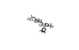 C/C(NNC(=O)CC(C)O)=C1/C(=O)N(c2cc(C)cc(C)c2)c2cc(C(F)(F)F)ccc21